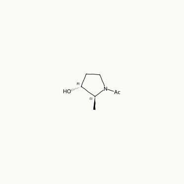 CC(=O)N1CC[C@@H](O)[C@@H]1C